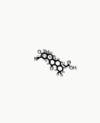 C[C@@H]1C(=O)C(C#N)=C[C@]2(C)C3=CC(=O)C4C5CC(C)(C)CC[C@]5(CCC(=O)O)CC[C@@]4(C)[C@]3(C)CC[C@@H]12